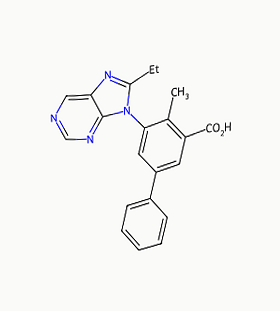 CCc1nc2cncnc2n1-c1cc(-c2ccccc2)cc(C(=O)O)c1C